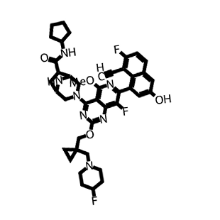 C#Cc1c(F)ccc2cc(O)cc(-c3nc(OC)c4c(N5CC6CC(C(=O)NC7CCCC7)C(C5)N6)nc(OCC5(CN6CCC(F)CC6)CC5)nc4c3F)c12